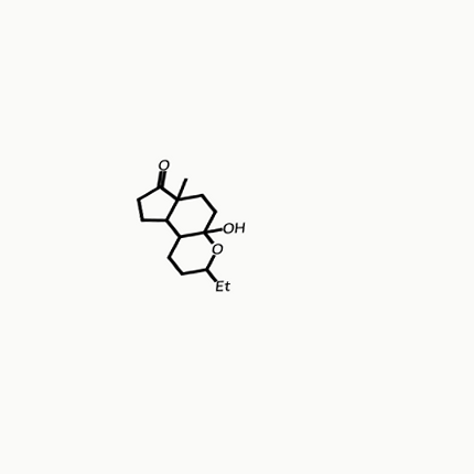 CCC1CCC2C3CCC(=O)C3(C)CCC2(O)O1